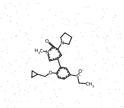 CC[S+]([O-])c1ccc(OCC2CC2)c(-c2cc(N3CCCC3)c(=O)n(C)c2)c1